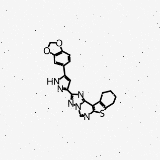 c1cc2c(cc1-c1cc(-c3nc4c5c6c(sc5ncn4n3)CCCC6)n[nH]1)OCO2